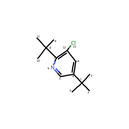 CC(C)(C)c1cnc(C(C)(C)C)c(Cl)c1